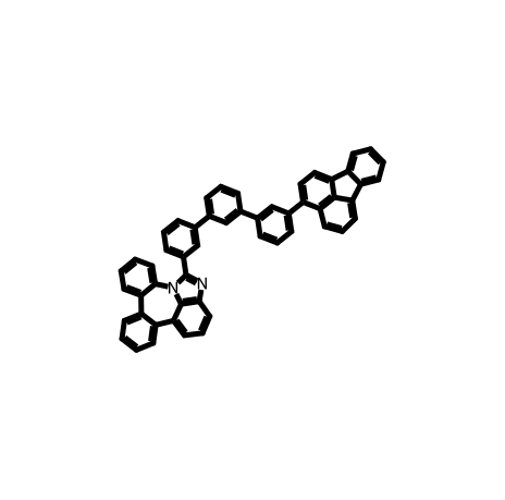 c1cc(-c2cccc(-c3ccc4c5c(cccc35)-c3ccccc3-4)c2)cc(-c2cccc(-c3nc4cccc5c4n3-c3ccccc3-c3ccccc3-5)c2)c1